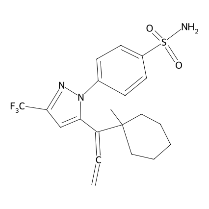 C=C=C(c1cc(C(F)(F)F)nn1-c1ccc(S(N)(=O)=O)cc1)C1(C)CCCCC1